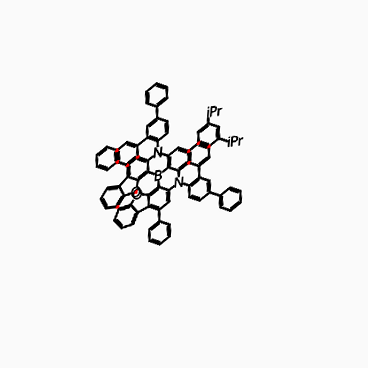 CC(C)c1cc(-c2cc3c4c(c2)N(c2ccc(-c5ccccc5)cc2-c2ccccc2)c2cc(-c5ccccc5)c5c(oc6ccccc65)c2B4c2c(cc(-c4ccccc4)c4c2oc2ccccc24)N3c2ccc(-c3ccccc3)cc2-c2ccccc2)cc(C(C)C)c1